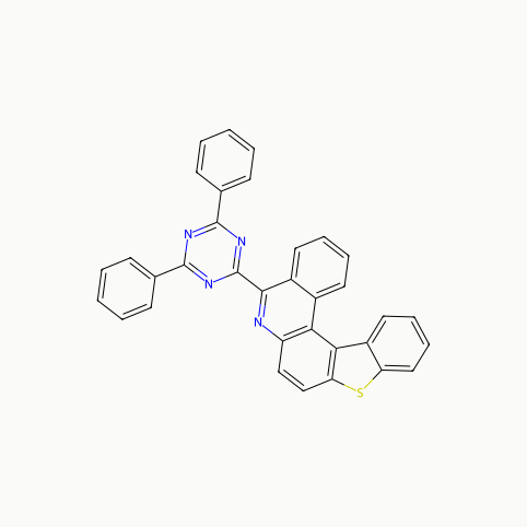 c1ccc(-c2nc(-c3ccccc3)nc(-c3nc4ccc5sc6ccccc6c5c4c4ccccc34)n2)cc1